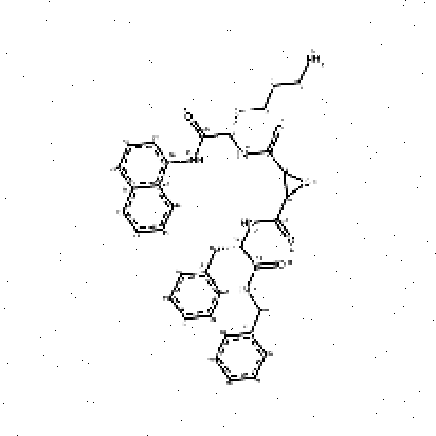 NCCCC[C@H](NC(=O)C1OC1C(=O)N[C@@H](Cc1ccccc1)C(=O)NCc1ccccc1)C(=O)Nc1cccc2ccccc12